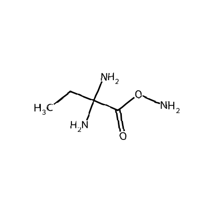 CCC(N)(N)C(=O)ON